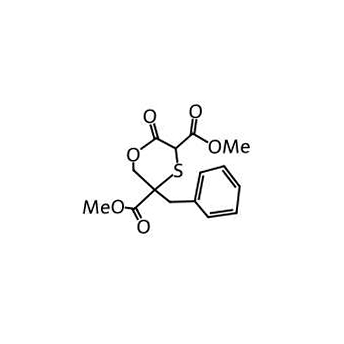 COC(=O)C1SC(Cc2ccccc2)(C(=O)OC)COC1=O